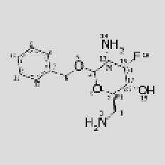 NC[C@H]1OC(OCc2ccccc2)[C@H](N)[C@H](F)[C@@H]1O